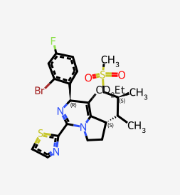 CCOC(=O)C1=C2[C@H](C(C)[C@H](C)CS(C)(=O)=O)CCN2C(c2nccs2)=N[C@H]1c1ccc(F)cc1Br